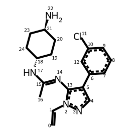 C=Cn1ncc(-c2cccc(Cl)c2)c1/N=C(\C)N[C@H]1CC[C@H](N)CC1